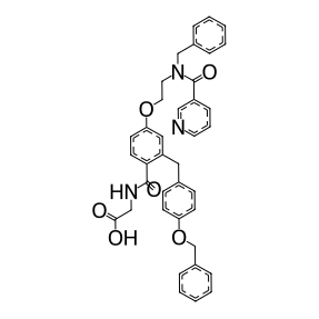 O=C(O)CNC(=O)c1ccc(OCCN(Cc2ccccc2)C(=O)c2cccnc2)cc1Cc1ccc(OCc2ccccc2)cc1